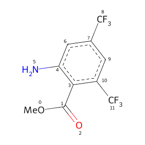 COC(=O)c1c(N)cc(C(F)(F)F)cc1C(F)(F)F